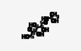 CC(O)NOC[C@H](O)[C@@H](O)[C@H](O)C(=O)CO